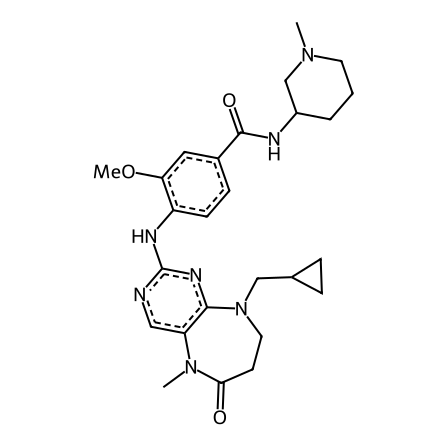 COc1cc(C(=O)NC2CCCN(C)C2)ccc1Nc1ncc2c(n1)N(CC1CC1)CCC(=O)N2C